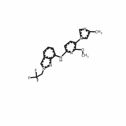 COc1nc(Nc2cccc3cn(CC(F)(F)F)nc23)ccc1-n1cnc(C)c1